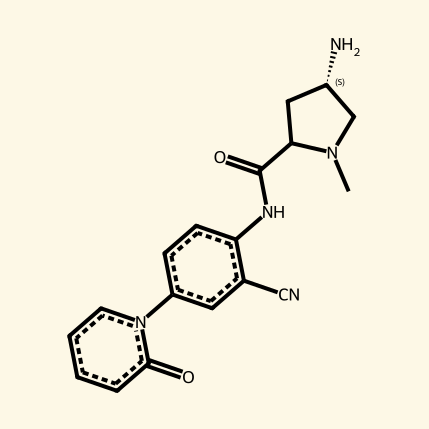 CN1C[C@@H](N)CC1C(=O)Nc1ccc(-n2ccccc2=O)cc1C#N